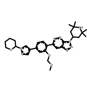 COCOc1cc(-c2cnn(C3CCCCO3)c2)ccc1-c1cc2nnn(C3CC(C)(C)NC(C)(C)C3)c2nn1